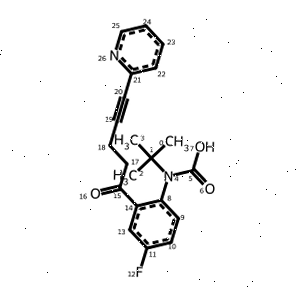 CC(C)(C)N(C(=O)O)c1ccc(F)cc1C(=O)CCC#Cc1ccccn1